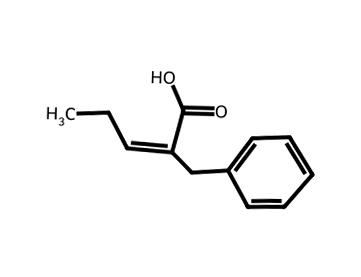 CCC=C(Cc1ccccc1)C(=O)O